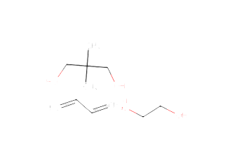 C=CC=C.CC(C)(CO)CO.OCCO